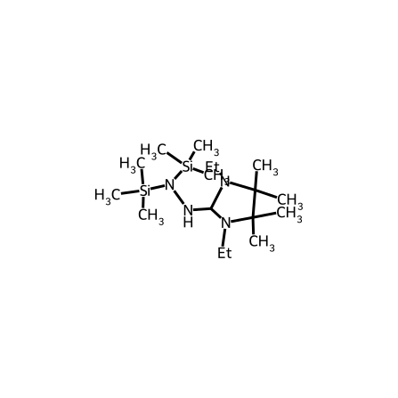 CCN1C(NN([Si](C)(C)C)[Si](C)(C)C)N(CC)C(C)(C)C1(C)C